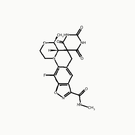 CNC(=O)c1noc2c(F)c3c(cc12)CC1(C(=O)NC(=O)NC1=O)[C@H]1[C@H](C)OCCN31